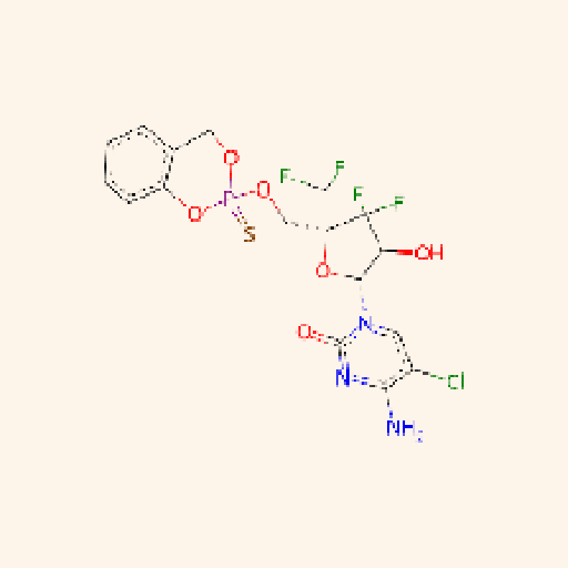 Nc1nc(=O)n([C@@H]2O[C@@](COP3(=S)OCc4ccccc4O3)(C(F)F)C(F)(F)[C@H]2O)cc1Cl